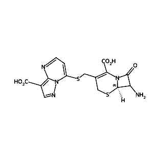 NC1C(=O)N2C(C(=O)O)=C(CSc3ccnc4c(C(=O)O)cnn34)CS[C@H]12